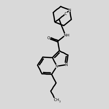 CCCc1cccc2c(C(=O)NC3CN4CCC3CC4)cnn12